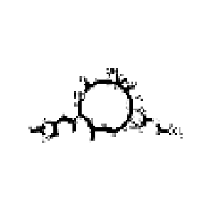 CC1=C\[C@@H](/C(C)=C/c2csc(C)n2)CNC(=O)C[C@H](O)C(C)(C)C(=O)[C@H](C)[C@@H](OC(=O)OCC(Cl)(Cl)Cl)[C@@H](C)C\C=C\1